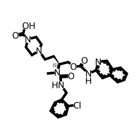 CN(C(=O)NCc1ccccc1Cl)[C@@H](CCN1CCN(C(=O)O)CC1)COC(=O)Nc1cc2ccccc2cn1